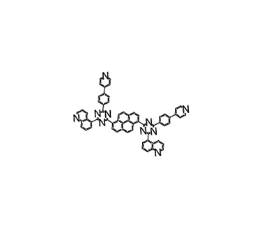 c1cc(-c2nc(-c3ccc(-c4ccncc4)cc3)nc(-c3ccc4ccc5c(-c6nc(-c7ccc(-c8ccncc8)cc7)nc(-c7cccc8ncccc78)n6)ccc6ccc3c4c65)n2)c2cccnc2c1